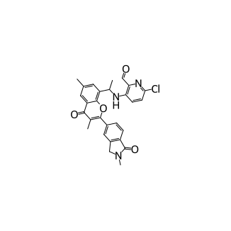 Cc1cc(C(C)Nc2ccc(Cl)nc2C=O)c2oc(-c3ccc4c(c3)CN(C)C4=O)c(C)c(=O)c2c1